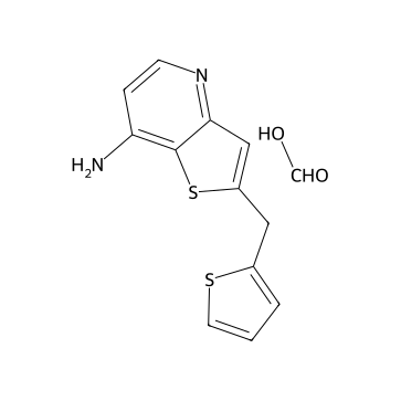 Nc1ccnc2cc(Cc3cccs3)sc12.O=CO